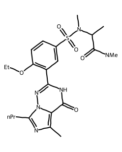 CCCc1nc(C)c2c(=O)[nH]c(-c3cc(S(=O)(=O)N(C)C(C)C(=O)NC)ccc3OCC)nn12